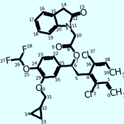 C=C/C(Cl)=C(C[C@H](OC(=O)CN1C(=O)Cc2ccccc21)c1ccc(OC(F)F)c(OCC2CC2)c1)\C(Cl)=C/C